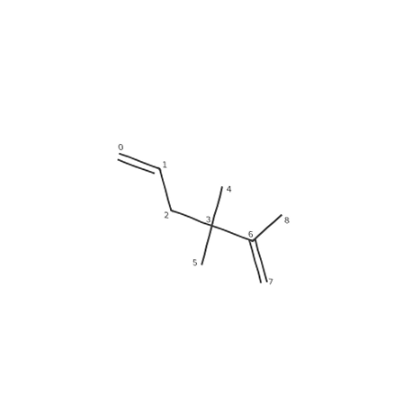 C=CCC(C)(C)C(=C)C